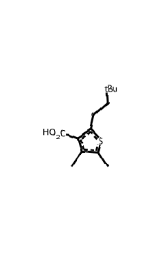 Cc1sc(CCC(C)(C)C)c(C(=O)O)c1C